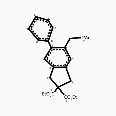 CCOC(=O)C1(C(=O)OCC)Cc2cc(COC)c(-c3ccccc3)cc2C1